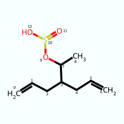 C=CCC(CC=C)C(C)OS(=O)O